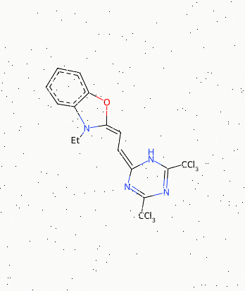 CCN1C(=CC=C2N=C(C(Cl)(Cl)Cl)N=C(C(Cl)(Cl)Cl)N2)Oc2ccccc21